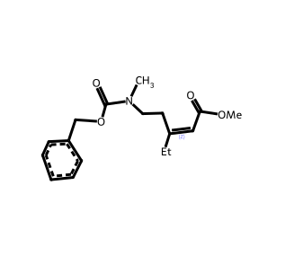 CC/C(=C/C(=O)OC)CCN(C)C(=O)OCc1ccccc1